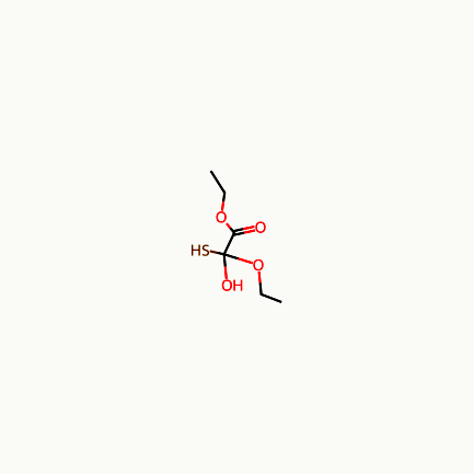 CCOC(=O)C(O)(S)OCC